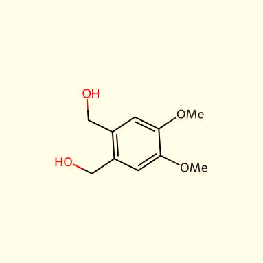 COc1cc(CO)c(CO)cc1OC